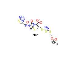 CC(=O)OCCSc1nnc(SCC2=C(C(=O)[O-])N3C(=O)C(NC(=O)Cc4csc(N)n4)[C@H]3SC2)s1.[Na+]